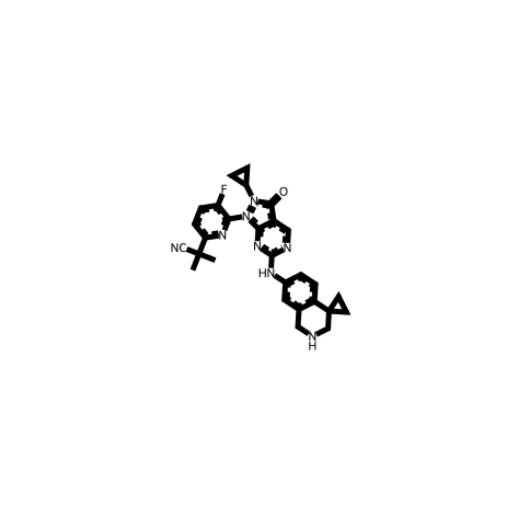 CC(C)(C#N)c1ccc(F)c(-n2c3nc(Nc4ccc5c(c4)CNCC54CC4)ncc3c(=O)n2C2CC2)n1